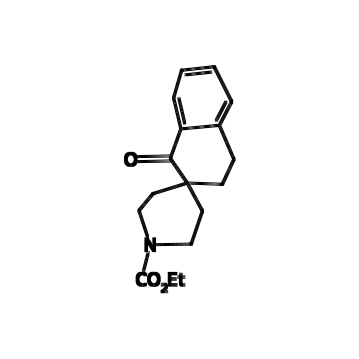 CCOC(=O)N1CCC2(CCc3ccccc3C2=O)CC1